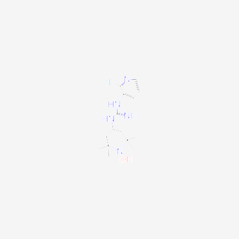 CC1(C)CC(NC(=N)Nc2cccnc2F)CC(C)(C)N1O